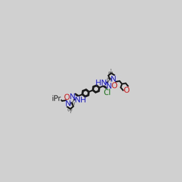 CC(C)CC(=O)N1C[C@@H](C)C[C@H]1c1ncc(-c2ccc(-c3ccc(-c4[nH]c([C@@H]5C[C@H](C)CN5C(=O)CC5CCOCC5)nc4Cl)cc3)cc2)[nH]1